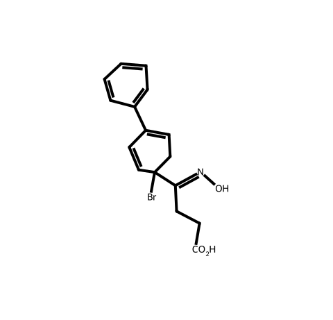 O=C(O)CCC(=NO)C1(Br)C=CC(c2ccccc2)=CC1